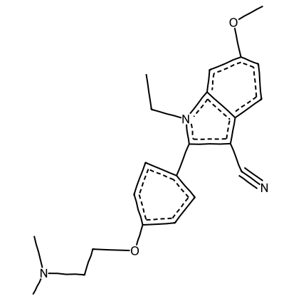 CCn1c(-c2ccc(OCCN(C)C)cc2)c(C#N)c2ccc(OC)cc21